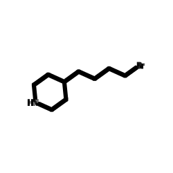 BrCCCCC1CCNCC1